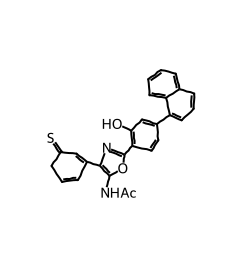 CC(=O)Nc1oc(-c2ccc(-c3cccc4ccccc34)cc2O)nc1C1=CC(=S)CC=C1